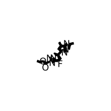 CCOC(=O)c1nc2c(F)cc(-c3cc(C)c4nc(C)cn4n3)cn2n1